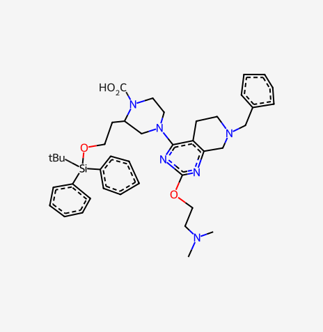 CN(C)CCOc1nc2c(c(N3CCN(C(=O)O)C(CCO[Si](c4ccccc4)(c4ccccc4)C(C)(C)C)C3)n1)CCN(Cc1ccccc1)C2